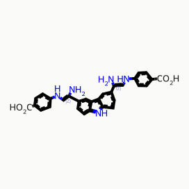 N/C(=C\Nc1ccc(C(=O)O)cc1)c1ccc2[nH]c3ccc(/C(N)=C/Nc4ccc(C(=O)O)cc4)cc3c2c1